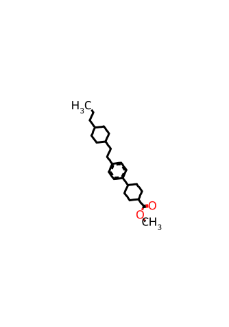 CCCC1CCC(CCc2ccc(C3CCC(C(=O)OC)CC3)cc2)CC1